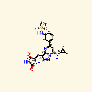 CCCS(=O)(=O)Nc1cccc(-c2cc(NC3CC3)n3ncc(/C=C4\NC(=O)NC4=O)c3n2)c1